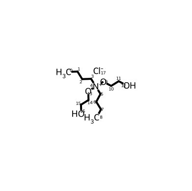 CCCC[N+](CCCC)(OCCO)OCCO.[Cl-]